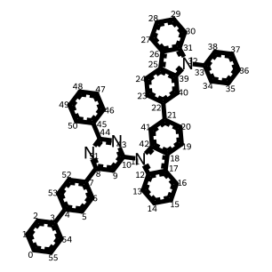 c1ccc(-c2ccc(-c3cc(-n4c5ccccc5c5ccc(-c6ccc7c8ccccc8n(-c8ccccc8)c7c6)cc54)nc(-c4ccccc4)n3)cc2)cc1